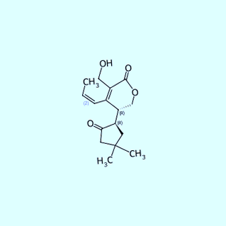 C/C=C\C1=C(CO)C(=O)OC[C@@H]1[C@H]1CC(C)(C)CC1=O